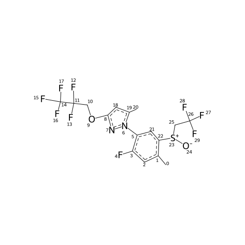 Cc1cc(F)c(-n2nc(OCC(F)(F)C(F)(F)F)cc2C)cc1[S+]([O-])CC(F)(F)F